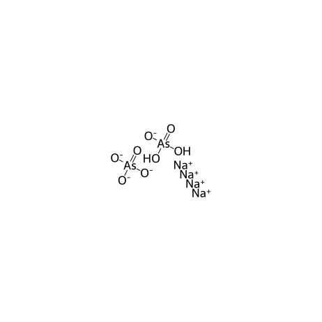 O=[As]([O-])(O)O.O=[As]([O-])([O-])[O-].[Na+].[Na+].[Na+].[Na+]